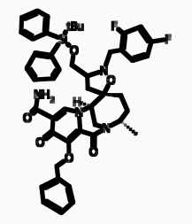 C[C@H]1CC[C@]2(CC(CO[Si](c3ccccc3)(c3ccccc3)C(C)(C)C)N(Cc3ccc(F)cc3F)O2)[C@H]2CN1C(=O)c1c(OCc3ccccc3)c(=O)c(C(N)=O)cn12